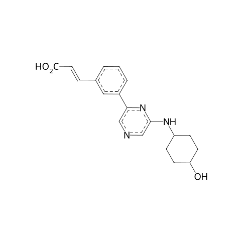 O=C(O)C=Cc1cccc(-c2cncc(NC3CCC(O)CC3)n2)c1